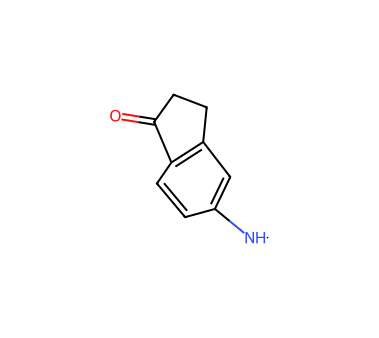 [NH]c1ccc2c(c1)CCC2=O